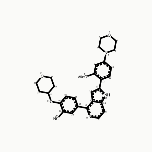 COc1cc(N2CCOCC2)ccc1-c1cc2c(-c3ccc(OC4CCOCC4)c(C#N)c3)nccc2[nH]1